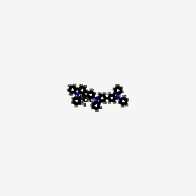 CC1(C)c2cc(-n3c4ccccc4c4cc(-c5ccc6c(c5)c5ccccc5n6-c5ccccc5)ccc43)ccc2-c2ccc3c4ccccc4n(-c4ccccc4)c3c21